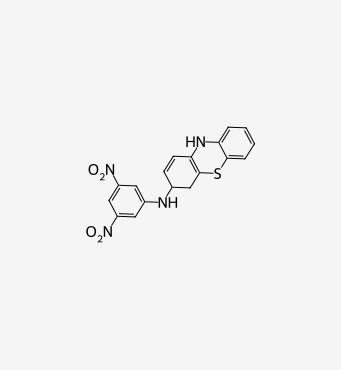 O=[N+]([O-])c1cc(NC2C=CC3=C(C2)Sc2ccccc2N3)cc([N+](=O)[O-])c1